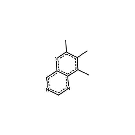 Cc1nc2cncnc2c(C)c1C